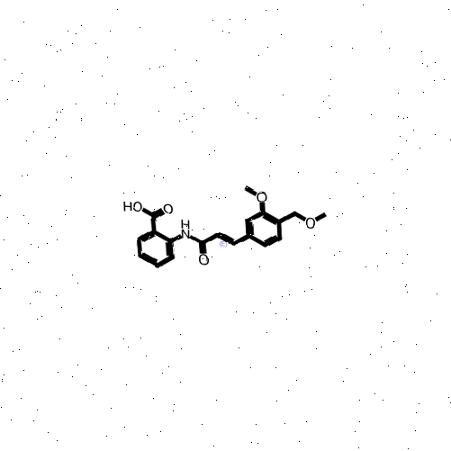 COCc1ccc(/C=C/C(=O)Nc2ccccc2C(=O)O)cc1OC